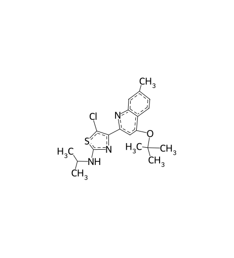 Cc1ccc2c(OC(C)(C)C)cc(-c3nc(NC(C)C)sc3Cl)nc2c1